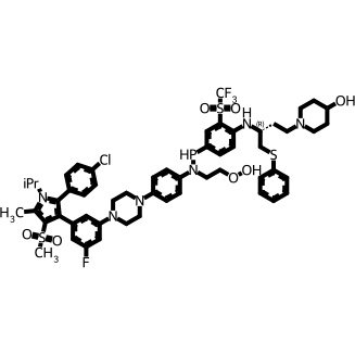 Cc1c(S(C)(=O)=O)c(-c2cc(F)cc(N3CCN(c4ccc(N(CCOO)Pc5ccc(N[C@H](CCN6CCC(O)CC6)CSc6ccccc6)c(S(=O)(=O)C(F)(F)F)c5)cc4)CC3)c2)c(-c2ccc(Cl)cc2)n1C(C)C